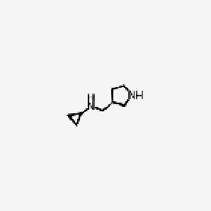 C1C[C@H](CNC2CC2)CN1